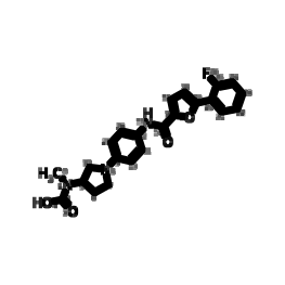 CN(C(=O)O)C1CCN(c2ccc(NC(=O)c3ccc(-c4ccccc4F)o3)cc2)C1